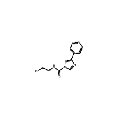 CC(C)CCNC(=O)n1cnc(-c2ccncc2)c1